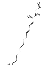 CCCCCCCCC=C/C=C/C(=O)NC[C]=O